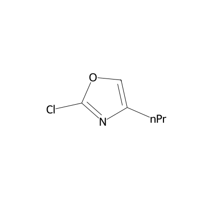 [CH2]CCc1coc(Cl)n1